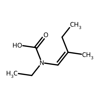 CC/C(C)=C\N(CC)C(=O)O